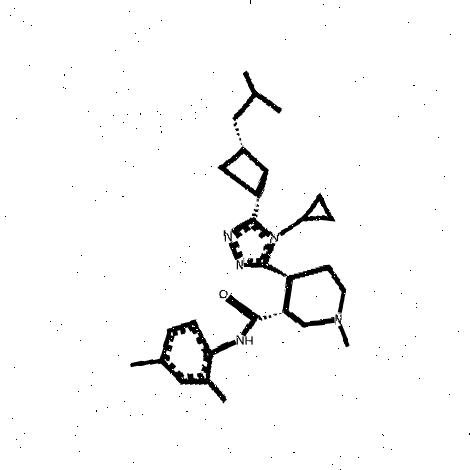 Cc1ccc(NC(=O)[C@H]2CN(C)CC[C@@H]2c2nnc([C@H]3C[C@@H](CC(C)C)C3)n2C2CC2)c(C)c1